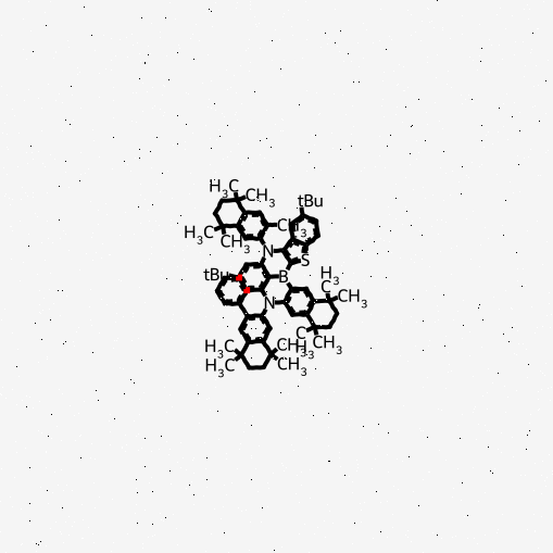 Cc1cc2c(cc1N1c3cc(C(C)(C)C)cc4c3B(c3cc5c(cc3N4c3cc4c(cc3-c3ccccc3)C(C)(C)CCC4(C)C)C(C)(C)CCC5(C)C)c3sc4ccc(C(C)(C)C)cc4c31)C(C)(C)CCC2(C)C